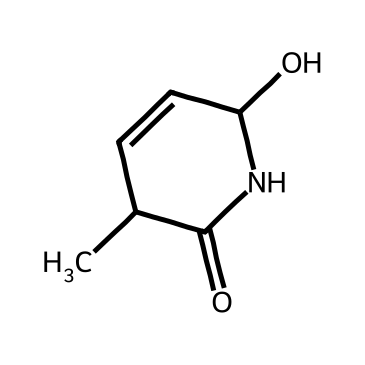 CC1C=CC(O)NC1=O